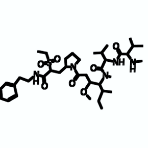 CCC(C)C(C(CC(=O)N1CCCC1CC(C(=O)NCCc1ccccc1)S(=O)(=O)CC)OC)N(C)C(=O)C(NC(=O)C(NC)C(C)C)C(C)C